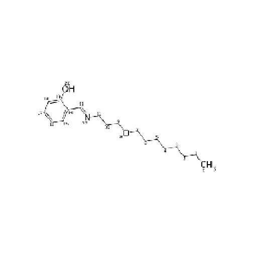 CCCCCCCCOCCCN=Cc1ccccc1O